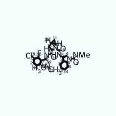 CNC(=O)n1cc(NC(=O)N2[C@@H]3C[C@@H]3C[C@H]2C(=O)N[C@H](CN(C)C)c2cccc(Cl)c2F)c2ccccc21